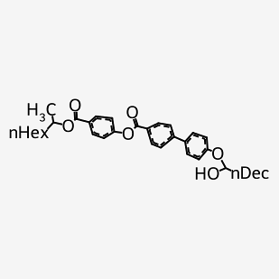 CCCCCCCCCCC(O)Oc1ccc(-c2ccc(C(=O)Oc3ccc(C(=O)OC(C)CCCCCC)cc3)cc2)cc1